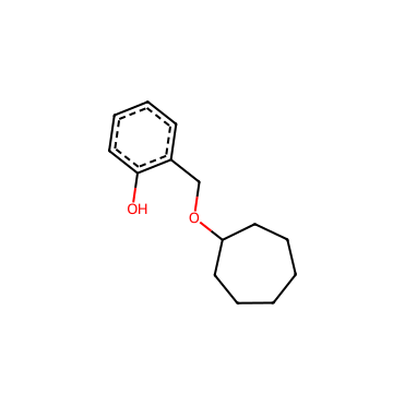 Oc1ccccc1COC1CCCCCC1